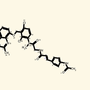 CC(=O)Nc1ccc(/C=C/C(=O)NCC(=O)N(C)c2ccc(Cl)c(COc3cccc4ncc(C)nc34)c2Cl)cc1